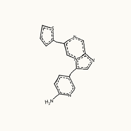 Nc1ccc(-c2cnc3cnc(-c4cccs4)cn23)cn1